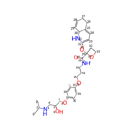 CC(C)NC[C@H](O)COc1ccc(OCCCNC(=O)C2(OC3=CC=C4CCC=CC4N3)CCO2)cc1